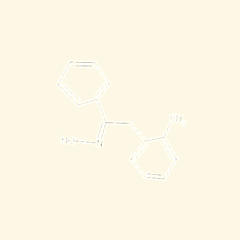 Cc1ccccc1CC(=NO)c1ccccc1